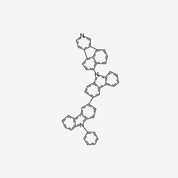 c1ccc(-n2c3ccccc3c3cc(-c4ccc5c(c4)c4ccccc4n5-c4ccc5c6c(cccc46)-c4cnccc4-5)ccc32)cc1